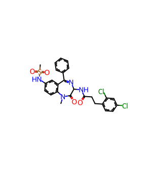 CN1C(=O)C(NC(=O)CCc2ccc(Cl)cc2Cl)N=C(c2ccccc2)c2cc(NS(C)(=O)=O)ccc21